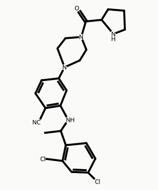 CC(Nc1cc(N2CCN(C(=O)C3CCCN3)CC2)ccc1C#N)c1ccc(Cl)cc1Cl